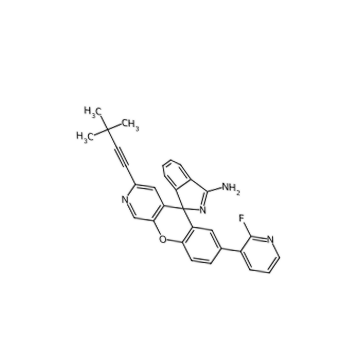 CC(C)(C)C#Cc1cc2c(cn1)Oc1ccc(-c3cccnc3F)cc1C21N=C(N)c2ccccc21